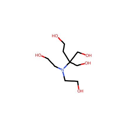 OCCN(CCO)C(CO)(CO)CCO